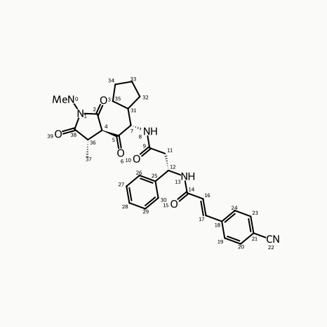 CNN1C(=O)[C@@H](C(=O)[C@@H](NC(=O)C[C@H](NC(=O)/C=C/c2ccc(C#N)cc2)c2ccccc2)C2CCCC2)[C@H](C)C1=O